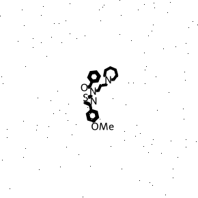 COc1ccc(-c2csc(N(CCCN3CCCCCC3)C(=O)c3ccccc3)n2)cc1